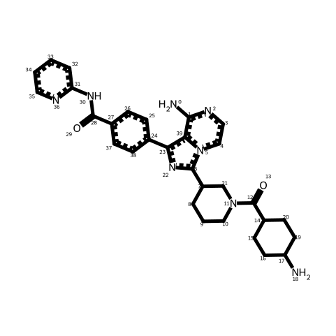 Nc1nccn2c(C3CCCN(C(=O)C4CCC(N)CC4)C3)nc(-c3ccc(C(=O)Nc4ccccn4)cc3)c12